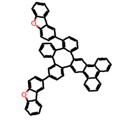 c1ccc2c(c1)-c1cc(-c3ccc4oc5ccccc5c4c3)ccc1-c1cc3c4ccccc4c4ccccc4c3cc1-c1cccc(-c3ccc4oc5ccccc5c4c3)c1-2